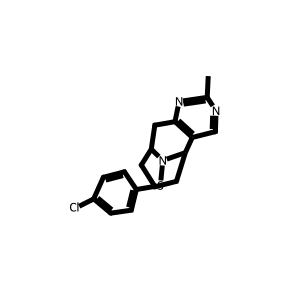 Cc1ncc2c(n1)CC1CCCC2N1Sc1ccc(Cl)cc1